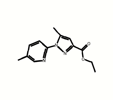 CCOC(=O)c1cc(C)n(-c2ccc(C)cn2)n1